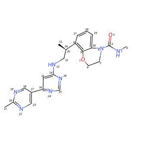 CNC(=O)N1CCOc2c([C@H](C)CNc3cc(-c4cnc(C)nc4)ncn3)cccc21